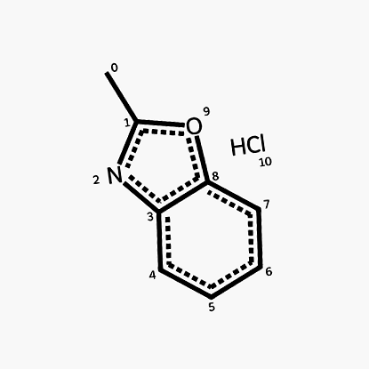 Cc1nc2ccccc2o1.Cl